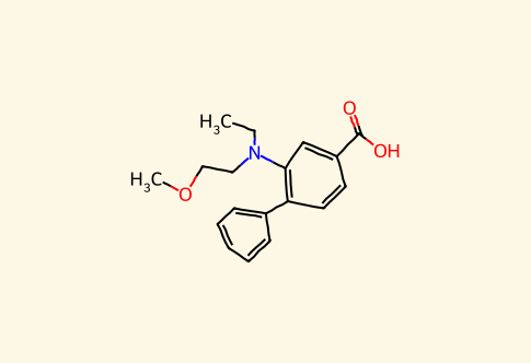 CCN(CCOC)c1cc(C(=O)O)ccc1-c1ccccc1